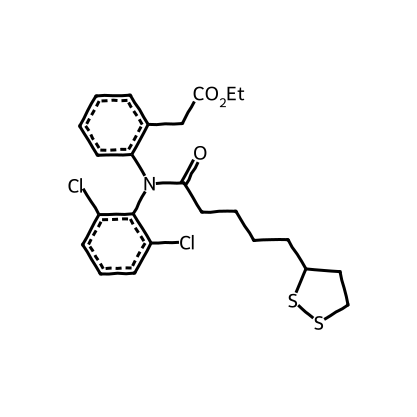 CCOC(=O)Cc1ccccc1N(C(=O)CCCCC1CCSS1)c1c(Cl)cccc1Cl